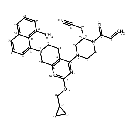 C=CC(=O)N1CCN(c2nc(OCC3CC3)nc3c2CCN(c2cccc4cccc(C)c24)C3)C[C@@H]1CC#N